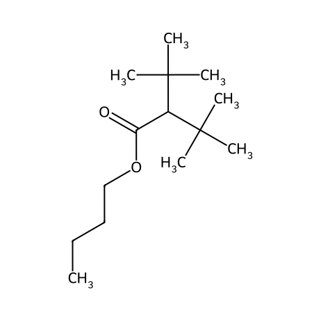 CCCCOC(=O)C(C(C)(C)C)C(C)(C)C